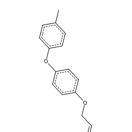 C=CCOc1ccc(Oc2ccc(C)cc2)cc1